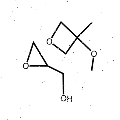 COC1(C)COC1.OCC1CO1